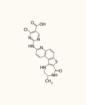 CC1CNc2c(sc3ccc4nc(Nc5ncc(C(=O)O)c(Cl)n5)ccc4c23)C(=O)N1